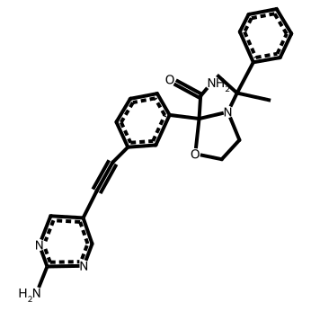 CC(C)(c1ccccc1)N1CCOC1(C(N)=O)c1cccc(C#Cc2cnc(N)nc2)c1